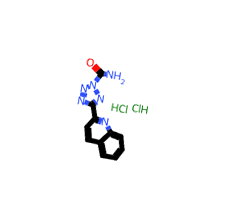 Cl.Cl.NC(=O)n1nnc(-c2ccc3ccccc3n2)n1